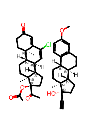 C#C[C@]1(O)CC[C@H]2[C@@H]3CCc4cc(OC)ccc4[C@H]3CC[C@@]21C.CC(=O)O[C@]1(C(C)=O)CC[C@H]2[C@@H]3C=C(Cl)C4=CC(=O)CC[C@]4(C)[C@H]3CC[C@@]21C